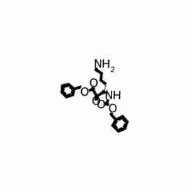 NCCCC[C@H](NC(=O)OCc1ccccc1)C(=O)C(=O)OCc1ccccc1